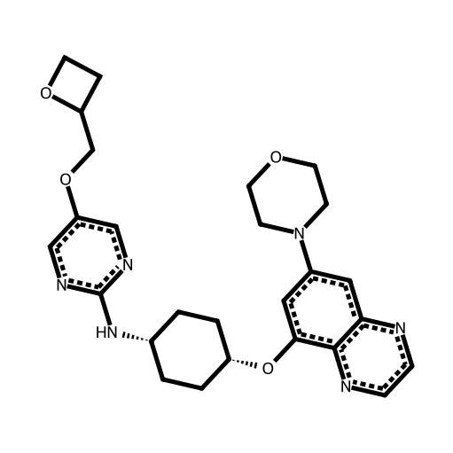 c1cnc2c(O[C@H]3CC[C@@H](Nc4ncc(OCC5CCO5)cn4)CC3)cc(N3CCOCC3)cc2n1